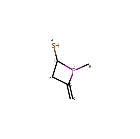 C=C1CC(S)P1C